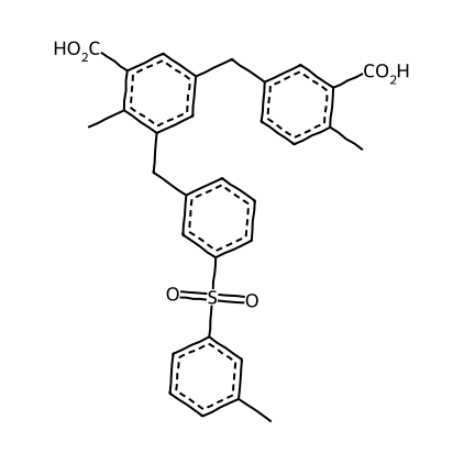 Cc1cccc(S(=O)(=O)c2cccc(Cc3cc(Cc4ccc(C)c(C(=O)O)c4)cc(C(=O)O)c3C)c2)c1